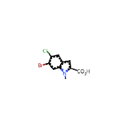 Cn1c(C(=O)O)cc2cc(Cl)c(Br)cc21